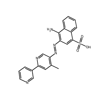 Cc1cc(-c2cccnc2)ncc1N=Nc1cc(S(=O)(=O)O)c2ccccc2c1N